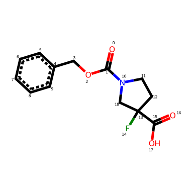 O=C(OCc1ccccc1)N1CCC(F)(C(=O)O)C1